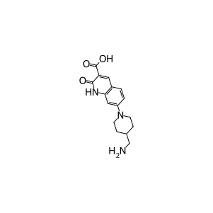 NCC1CCN(c2ccc3cc(C(=O)O)c(=O)[nH]c3c2)CC1